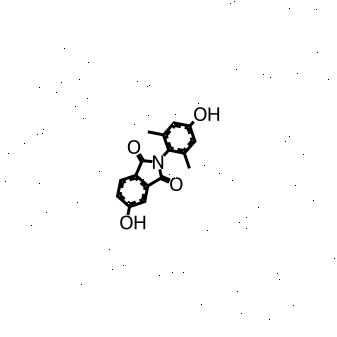 Cc1cc(O)cc(C)c1N1C(=O)c2ccc(O)cc2C1=O